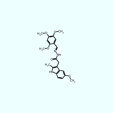 COc1ccc2[nH]c(C)c(CC(=O)N/N=C/c3cc(OC)c(OC)cc3OC)c2c1